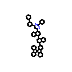 c1ccc(-c2cccc(-c3cc(-c4ccc(-c5ccc(-c6ccc7c(c6)C(c6ccccc6)(c6ccccc6)c6ccccc6-7)c6ccccc56)c5ccccc45)nc(-c4ccccc4)n3)c2)cc1